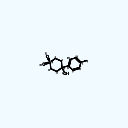 Cc1ccc(C2(O)CCS(=O)(=O)CC2)cc1